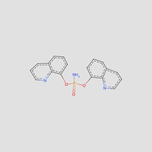 NP(=O)(Oc1cccc2cccnc12)Oc1cccc2cccnc12